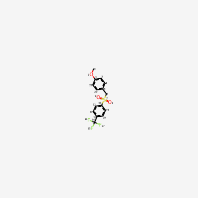 COc1ccc(CS(=O)(=O)c2ccc(C(F)(F)F)cc2)cc1